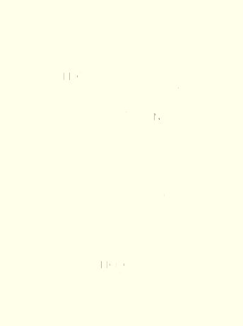 Cc1cccnc1Oc1ccc(CC(=O)O)cc1